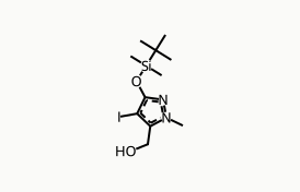 Cn1nc(O[Si](C)(C)C(C)(C)C)c(I)c1CO